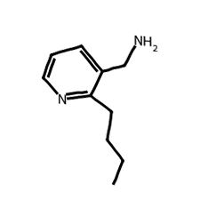 CCCCc1ncccc1CN